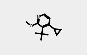 COc1nccc(C2CC2)c1C(C)(C)C